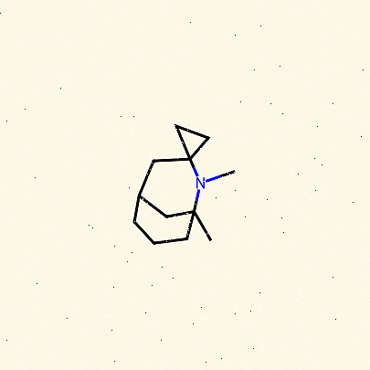 CN1C2(C)CCCC(C2)CC12CC2